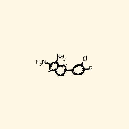 Nc1sc2ccc(-c3ccc(F)c(Cl)c3)nc2c1N